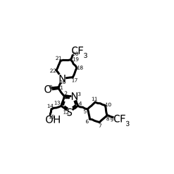 O=C(c1nc(C2CCC(C(F)(F)F)CC2)sc1CO)N1CCC(C(F)(F)F)CC1